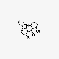 O=c1c2c(O)cccc2n2nc(CBr)c3ccc(Br)c1c32